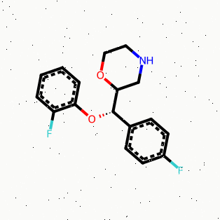 Fc1ccc([C@H](Oc2ccccc2F)C2CNCCO2)cc1